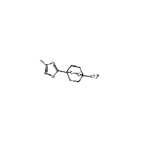 Cc1noc(C23CCC(C(=O)O)(CC2)CC3)n1